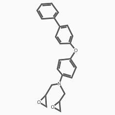 c1ccc(-c2ccc(Oc3ccc(N(CC4CO4)CC4CO4)cc3)cc2)cc1